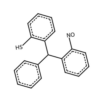 O=Nc1ccccc1C(c1ccccc1)c1ccccc1S